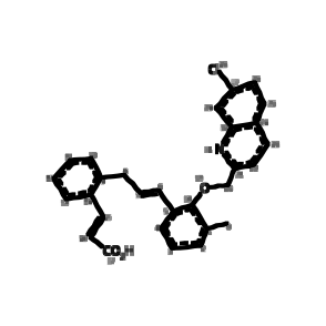 Cc1cccc(C=CCc2ccccc2C=CC(=O)O)c1OCc1ccc2ccc(Cl)cc2n1